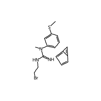 CSc1cccc(N(C)C(=N)NCCBr)c1.c1cc2cc-2c1